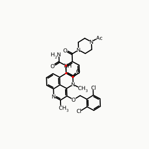 CC(=O)N1CCN(C(=O)c2cccc(-c3cccc4nc(C)c(OCc5c(Cl)cccc5Cl)c(N(C)C(=O)CNC(N)=O)c34)c2)CC1